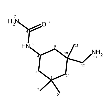 CC1(C)CC(NC(N)=O)CC(C)(CN)C1